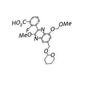 COCOc1cc(COC2CCCCO2)cc2nc(OC)c(-c3cccc(C(=O)O)c3F)nc12